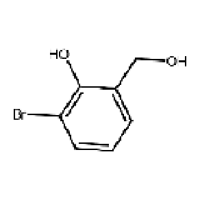 OCc1cccc(Br)c1O